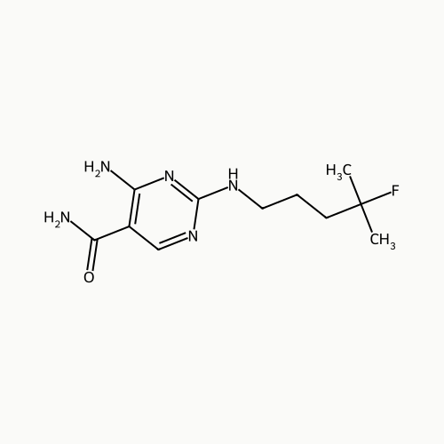 CC(C)(F)CCCNc1ncc(C(N)=O)c(N)n1